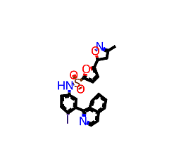 CC1=NOC(c2ccc(S(=O)(=O)Nc3ccc(I)c(-c4nccc5ccccc45)c3)o2)C1